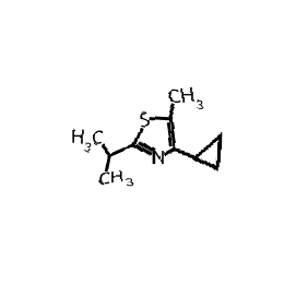 Cc1sc(C(C)C)nc1C1CC1